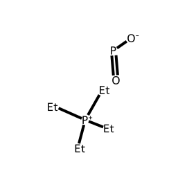 CC[P+](CC)(CC)CC.O=P[O-]